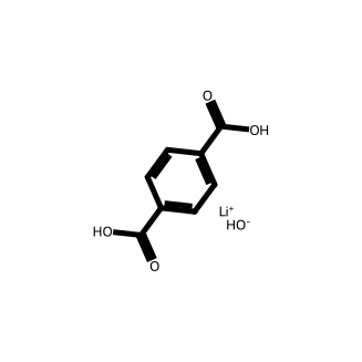 O=C(O)c1ccc(C(=O)O)cc1.[Li+].[OH-]